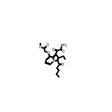 CCCCC(=O)c1c(CC)c(C(=O)C(N)=O)c2c(OCC(=O)OC)cccn12